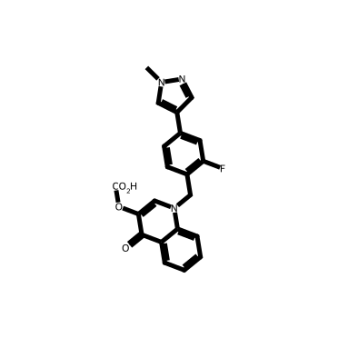 Cn1cc(-c2ccc(Cn3cc(OC(=O)O)c(=O)c4ccccc43)c(F)c2)cn1